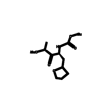 CON(C)C(=O)[C@H](CC1CCCO1)NC(=O)OC(C)(C)C